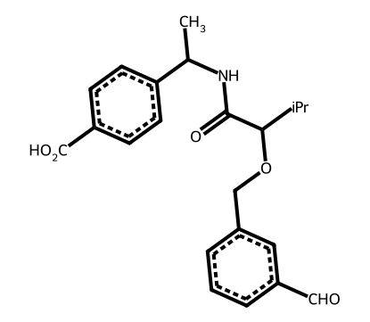 CC(NC(=O)C(OCc1cccc(C=O)c1)C(C)C)c1ccc(C(=O)O)cc1